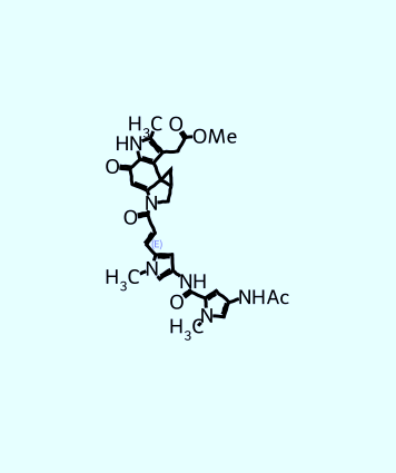 COC(=O)Cc1c(C)[nH]c2c1C13CC1CN(C(=O)/C=C/c1cc(NC(=O)c4cc(NC(C)=O)cn4C)cn1C)C3=CC2=O